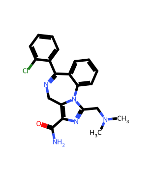 CN(C)Cc1nc(C(N)=O)c2n1-c1ccccc1C(c1ccccc1Cl)=NC2